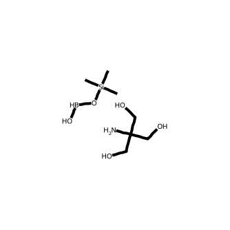 C[Si](C)(C)OBO.NC(CO)(CO)CO